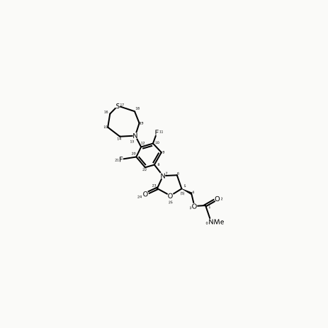 CNC(=O)OC[C@@H]1CN(c2cc(F)c(N3CCCSCC3)c(F)c2)C(=O)O1